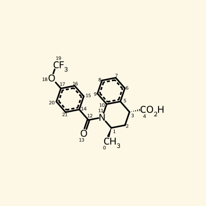 C[C@@H]1C[C@@H](C(=O)O)c2ccccc2N1C(=O)c1ccc(OC(F)(F)F)cc1